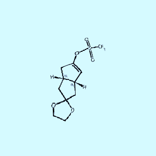 O=S(=O)(OC1=C[C@@H]2CC3(C[C@@H]2C1)OCCO3)C(F)(F)F